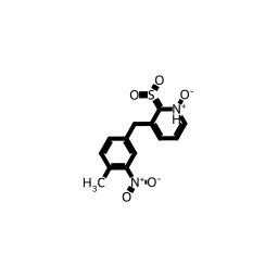 Cc1ccc(CC2=CC=C[NH+]([O-])C2=S(=O)=O)cc1[N+](=O)[O-]